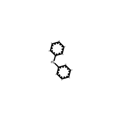 c1cc[c]([Pb][c]2ccccc2)cc1